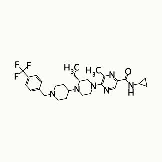 CC[C@H]1CN(c2ncc(C(=O)NC3CC3)nc2C)CCN1C1CCN(Cc2ccc(C(F)(F)F)cc2)CC1